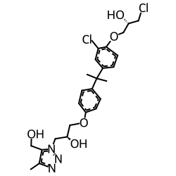 Cc1nnn(C[C@H](O)COc2ccc(C(C)(C)c3ccc(OC[C@H](O)CCl)c(Cl)c3)cc2)c1CO